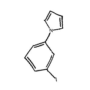 Ic1cccc(-n2cccc2)c1